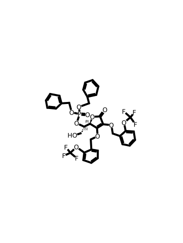 O=C1O[C@H]([C@H](CO)OP(=O)(OCc2ccccc2)OCc2ccccc2)C(OCc2ccccc2OC(F)(F)F)=C1OCc1ccccc1OC(F)(F)F